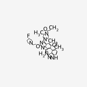 C=CC(=O)N1C[C@H](C)N(c2nc(OCCN3CC[C@H](F)C3)nc3c(F)c(-c4c(C)ccc5[nH]nc(N)c45)c(Cl)cc23)C[C@H]1C